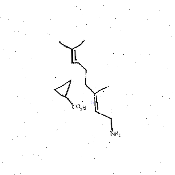 CC(C)=CCC/C(C)=C/CN.O=C(O)C1CC1